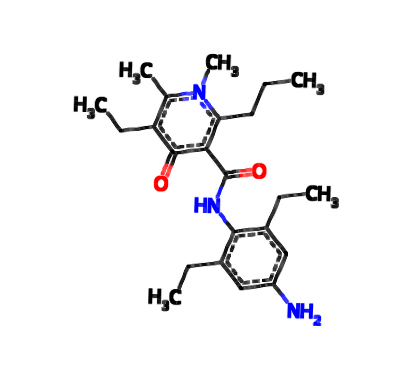 CCCc1c(C(=O)Nc2c(CC)cc(N)cc2CC)c(=O)c(CC)c(C)n1C